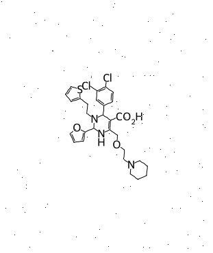 O=C(O)C1=C(COCCN2CCCCC2)NC(c2ccco2)N(CCc2cccs2)C1c1ccc(Cl)c(Cl)c1